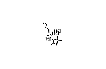 CCCCC[NH][Hf]([C]1=C(C)C(C)=C(C)C1C)[SiH](C)C.Cl.Cl